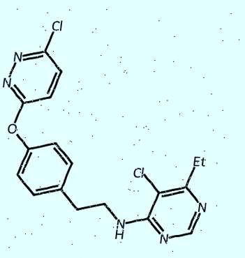 CCc1ncnc(NCCc2ccc(Oc3ccc(Cl)nn3)cc2)c1Cl